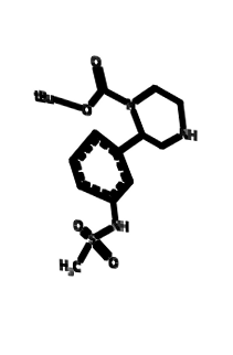 CC(C)(C)OC(=O)N1CCNCC1c1cccc(NS(C)(=O)=O)c1